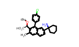 Cc1cc2ccc(C3(N)CCCCC3)cc2c(-c2ccc(Cl)cc2)c1[C@H](OC(C)(C)C)C(=O)O